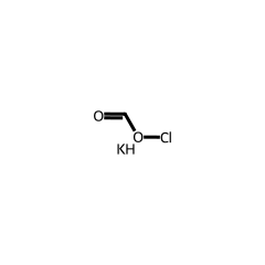 O=COCl.[KH]